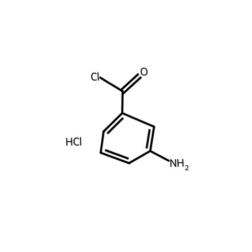 Cl.Nc1cccc(C(=O)Cl)c1